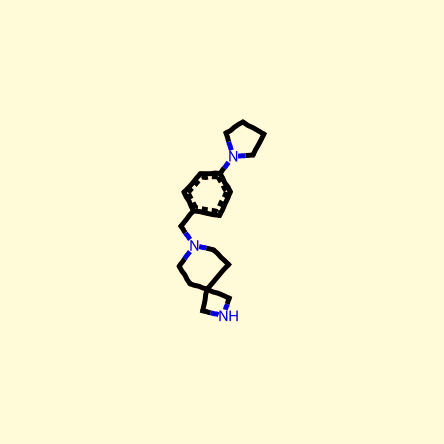 c1cc(N2CCCC2)ccc1CN1CCC2(CC1)CNC2